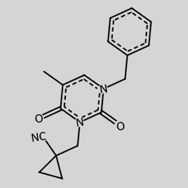 Cc1cn(Cc2ccccc2)c(=O)n(CC2(C#N)CC2)c1=O